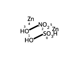 O=S(=O)(O)O.O=[N+]([O-])O.[Zn].[Zn]